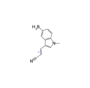 Bc1ccc2c(c1)c(/C=C/C#N)cn2C